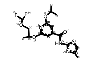 Cc1csc(NC(=O)c2cc(OC(C)C)nc(OC(C)COC(F)F)c2)n1